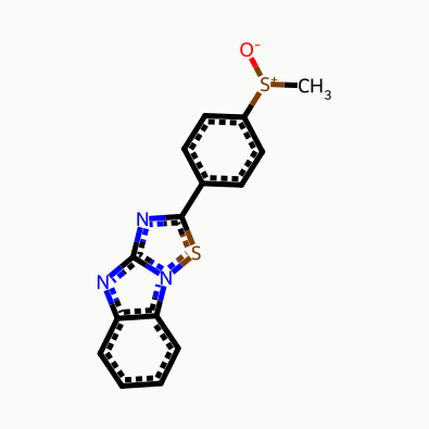 C[S+]([O-])c1ccc(-c2nc3nc4ccccc4n3s2)cc1